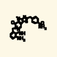 Cn1c2nc(Cc3ccc(C(N)=O)cc3)sc2c2cnn(Cc3cccc(N)c3C=N)c(=O)c21